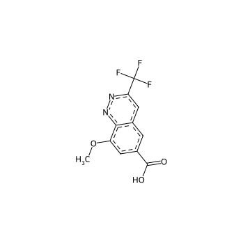 COc1cc(C(=O)O)cc2cc(C(F)(F)F)nnc12